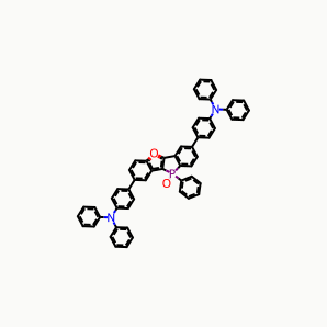 O=P1(c2ccccc2)c2ccc(-c3ccc(N(c4ccccc4)c4ccccc4)cc3)cc2-c2oc3ccc(-c4ccc(N(c5ccccc5)c5ccccc5)cc4)cc3c21